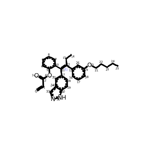 C=CC(=O)Oc1ccccc1/C(=C(\CC)c1cccc(OCCCCC)c1)c1ccc2[nH]ncc2c1